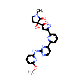 COc1cccc(Nc2nccc(-c3cccc(-c4cc(C5(O)CCN(C)C5=O)on4)n3)n2)n1